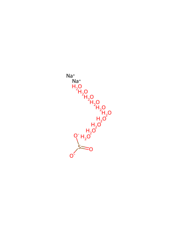 O.O.O.O.O.O.O.O.O.O.O=S([O-])[O-].[Na+].[Na+]